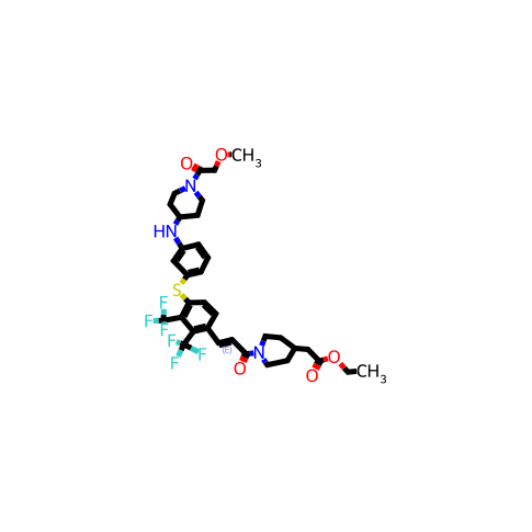 CCOC(=O)CC1CCN(C(=O)/C=C/c2ccc(Sc3cccc(NC4CCN(C(=O)COC)CC4)c3)c(C(F)(F)F)c2C(F)(F)F)CC1